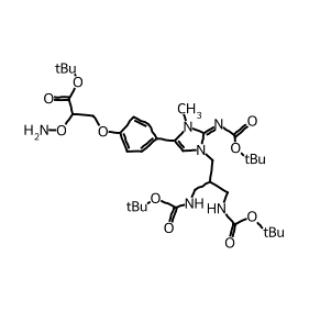 Cn1c(-c2ccc(OCC(ON)C(=O)OC(C)(C)C)cc2)cn(CC(CNC(=O)OC(C)(C)C)CNC(=O)OC(C)(C)C)c1=NC(=O)OC(C)(C)C